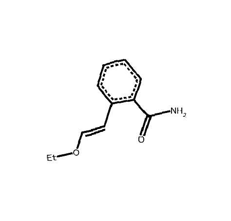 CCOC=Cc1ccccc1C(N)=O